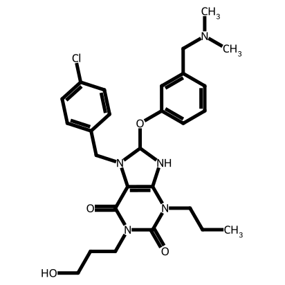 CCCn1c2c(c(=O)n(CCCO)c1=O)N(Cc1ccc(Cl)cc1)C(Oc1cccc(CN(C)C)c1)N2